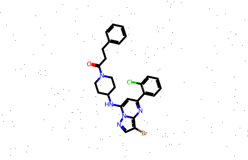 O=C(CCc1ccccc1)N1CCC(Nc2cc(-c3ccccc3Cl)nc3c(Br)cnn23)CC1